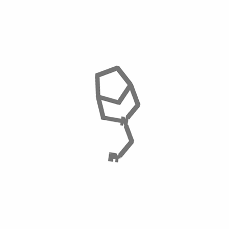 CC(C)CN1CC2CCC(C2)C1